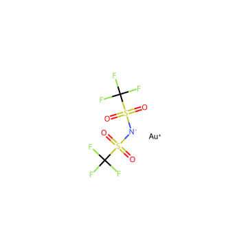 O=S(=O)([N-]S(=O)(=O)C(F)(F)F)C(F)(F)F.[Au+]